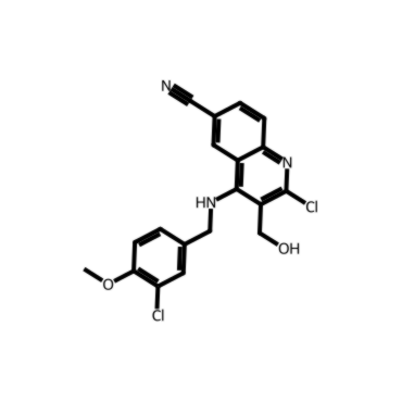 COc1ccc(CNc2c(CO)c(Cl)nc3ccc(C#N)cc23)cc1Cl